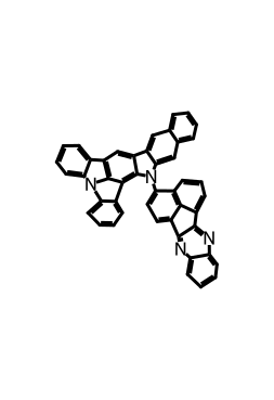 c1ccc2cc3c(cc2c1)c1cc2c4ccccc4n4c5ccccc5c(c1n3-c1ccc3c5c(cccc15)-c1nc5ccccc5nc1-3)c24